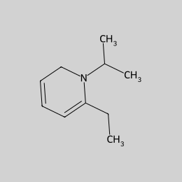 CCC1=CC=CCN1C(C)C